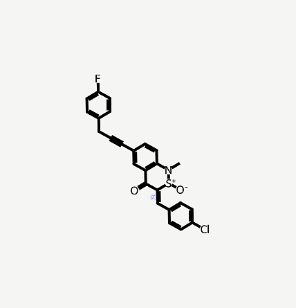 CN1c2ccc(C#CCc3ccc(F)cc3)cc2C(=O)/C(=C/c2ccc(Cl)cc2)[S+]1[O-]